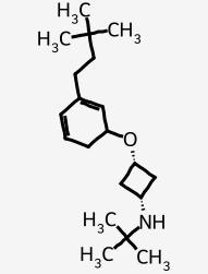 CC(C)(C)CCC1=CC(O[C@H]2C[C@@H](NC(C)(C)C)C2)CC=C1